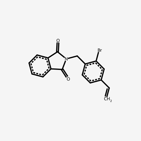 C=Cc1ccc(CN2C(=O)c3ccccc3C2=O)c(Br)c1